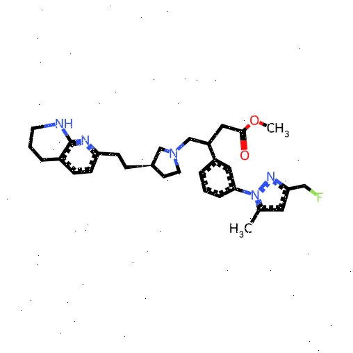 COC(=O)CC(CN1CC[C@@H](CCc2ccc3c(n2)NCCC3)C1)c1cccc(-n2nc(CF)cc2C)c1